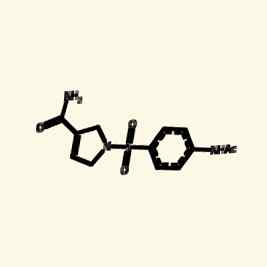 CC(=O)Nc1ccc(S(=O)(=O)N2CC=C(C(N)=O)C2)cc1